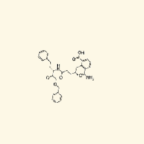 C[C@@H](CCC(=O)N[C@@H](CCc1ccccc1)C(=O)COCc1ccccc1)Cc1c(C(N)=O)cccc1C(=O)O